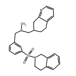 CN(Cc1cccc(S(=O)(=O)N2CCc3ccccc3C2)c1)CC1CCc2cccnc2C1